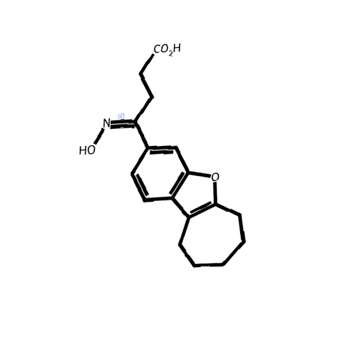 O=C(O)CC/C(=N/O)c1ccc2c3c(oc2c1)CCCCC3